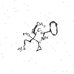 C=CCC(O)(CC=C)[C@H](N[C@H](C)c1ccccc1)C1CC1